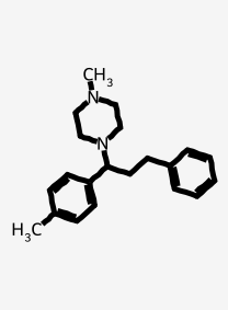 Cc1ccc(C(CCc2ccccc2)N2CCN(C)CC2)cc1